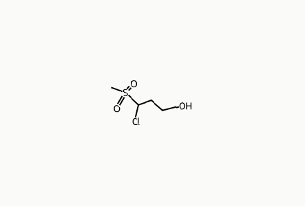 CS(=O)(=O)C(Cl)CCO